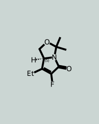 CCC1=C(F)C(=O)N2[C@@H]1COC2(C)C